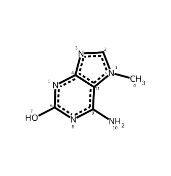 Cn1cnc2nc(O)nc(N)c21